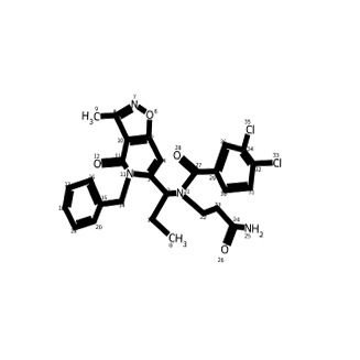 CCC(c1cc2onc(C)c2c(=O)n1Cc1ccccc1)N(CCC(N)=O)C(=O)c1ccc(Cl)c(Cl)c1